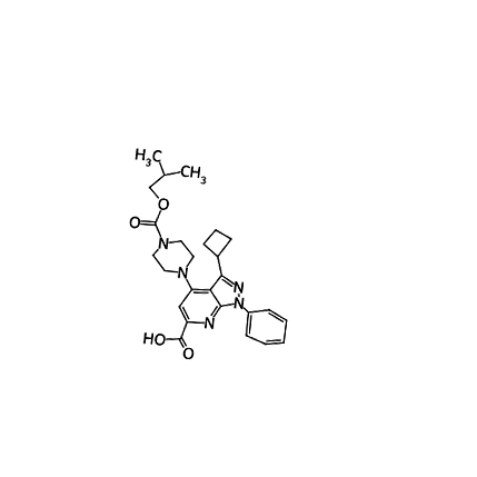 CC(C)COC(=O)N1CCN(c2cc(C(=O)O)nc3c2c(C2CCC2)nn3-c2ccccc2)CC1